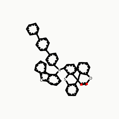 c1ccc(-c2ccc(-c3ccc(N(c4cccc5c4Sc4ccccc4C54c5ccccc5Oc5ccccc54)c4cccc5oc6ccccc6c45)cc3)cc2)cc1